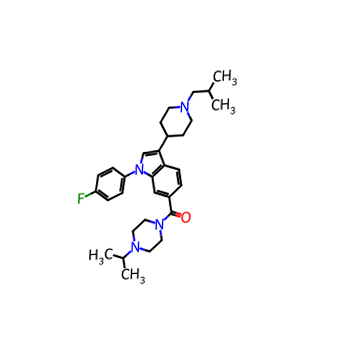 CC(C)CN1CCC(c2cn(-c3ccc(F)cc3)c3cc(C(=O)N4CCN(C(C)C)CC4)ccc23)CC1